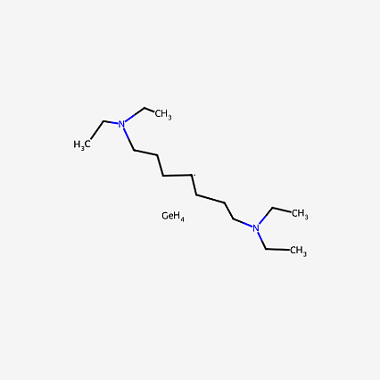 CCN(CC)CCC[CH]CCCN(CC)CC.[GeH4]